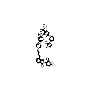 CN1CCN([C@H]2CCCN(c3cnc(C(N)=O)c(Nc4ccc(N5CCN(CCCCc6cccc7c6CN(C6CCC(=O)NC6=O)C7=O)CC5)cn4)n3)C2)C1=O